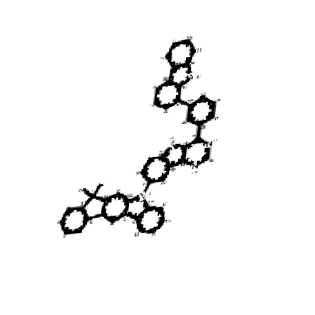 CC1(C)c2ccccc2-c2cc3c4ccccc4n(-c4ccc5sc6c(-c7cccc(-c8cccc9c8sc8ccccc89)c7)ncnc6c5c4)c3cc21